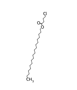 CCCCCCCCCCCCCCCCCCCCOC(=O)CCCCl